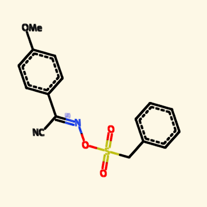 COc1ccc(/C(C#N)=N/OS(=O)(=O)Cc2ccccc2)cc1